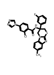 Cc1ccc2c(c1)nc1n2CC(NC(=O)c2ccc(-n3cnnc3)cc2Cl)(c2cccc(F)c2)CS1